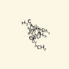 C=CCOS(=O)(=O)c1ccc(C)cc1.CN(C)C